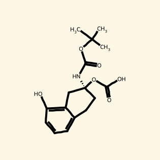 CC(C)(C)OC(=O)N[C@]1(OC(=O)O)CCc2cccc(O)c2C1